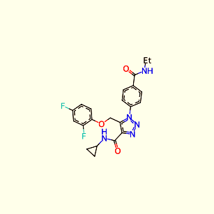 CCNC(=O)c1ccc(-n2nnc(C(=O)NC3CC3)c2COc2ccc(F)cc2F)cc1